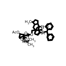 CC(=O)OC1C2OC3(O[SiH](C)C)OC(OCC45CC6C(C)CCC6C6(C=O)CC4C=C(C(C)C)C65C(=O)OC(c4ccccc4)c4ccccc4)(OC13)C2C(C)(C)C